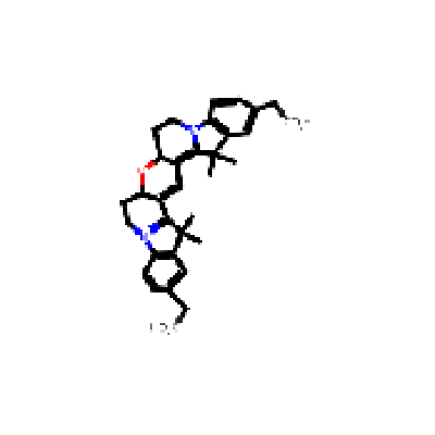 CC1(C)C2=C3C=C4C5=[N+](CCC4OC3CCN2c2ccc(CC(=O)O)cc21)c1ccc(CC(=O)O)cc1C5(C)C